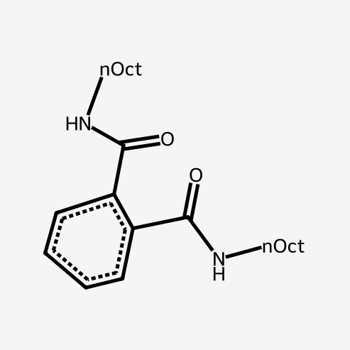 CCCCCCCCNC(=O)c1ccccc1C(=O)NCCCCCCCC